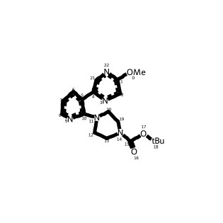 COc1cnc(-c2cccnc2N2CCN(C(=O)OC(C)(C)C)CC2)cn1